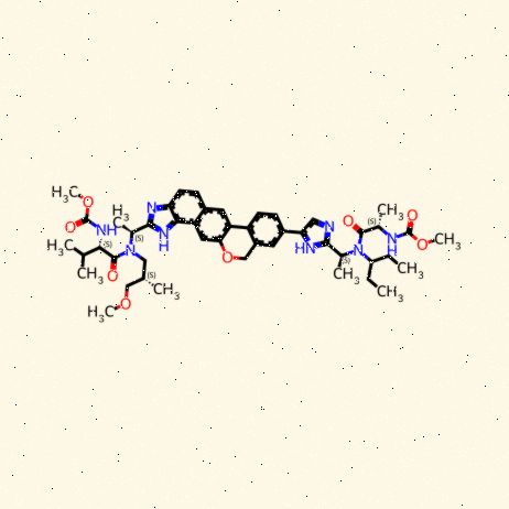 CCC(CC)N(C(=O)[C@H](C)NC(=O)OC)[C@@H](C)c1ncc(-c2ccc3c(c2)COc2cc4c(ccc5nc([C@H](C)N(C[C@H](C)COC)C(=O)[C@@H](NC(=O)OC)C(C)C)[nH]c54)cc2-3)[nH]1